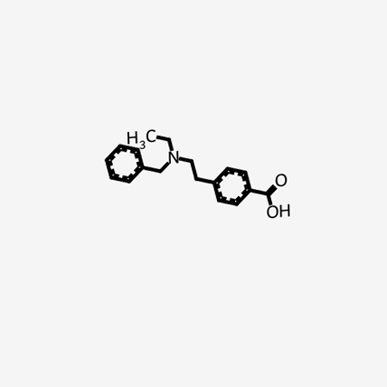 CCN(CCc1ccc(C(=O)O)cc1)Cc1ccccc1